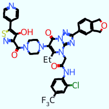 CCc1c(N2CCN(C(=O)c3nsc(-c4ccncc4)c3O)CC2)c(=O)n2nc(-c3ccc4c(c3)COC4)nc2n1CC(=O)Nc1ccc(C(F)(F)F)cc1Cl